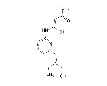 CCN(CC)Cc1cccc(N/C(C)=C/C(C)=O)c1